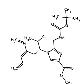 C=C/C=C(\C[C@H](C(C)Cl)n1cc(C(=O)OC)nc1CNC(=O)OC(C)(C)C)N=C